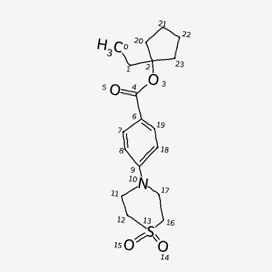 CCC1(OC(=O)c2ccc(N3CCS(=O)(=O)CC3)cc2)CCCC1